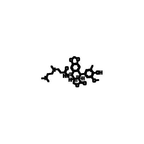 COc1cc(C2c3cc4c(cc3[C@@H](NC(=O)CCN(C)CCN(C)C)[C@H]3COC(=O)[C@H]23)OCO4)cc(C)c1O